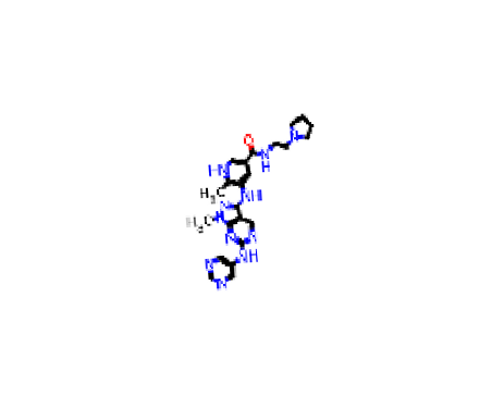 CC1NC=C(C(=O)NCCN2CCCC2)C=C1Nc1nn(C)c2nc(Nc3cncnc3)ncc12